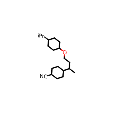 CC(C)C1CCC(OCCC(C)C2CCC(C#N)CC2)CC1